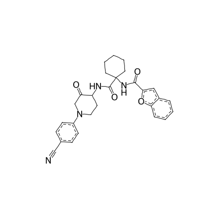 N#Cc1ccc(N2CCC(NC(=O)C3(NC(=O)c4cc5ccccc5o4)CCCCC3)C(=O)C2)cc1